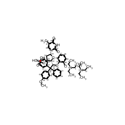 CCN(CC)CC.CCN(CC)CC.COc1ccc(C(c2ccccc2)(c2ccccc2)C(Oc2ccccc2Cl)[C@H]2O[C@@H](n3cc(C)c(=O)[nH]c3=O)C[C@@H]2OP(=O)(O)O)cc1